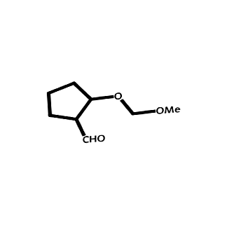 COCOC1CCCC1C=O